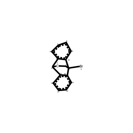 BrC12CCC(c3ccccc31)c1ccccc12